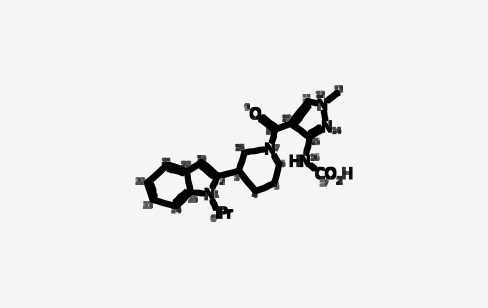 CC(C)n1c(C2CCCN(C(=O)c3cn(C)nc3NC(=O)O)C2)cc2ccccc21